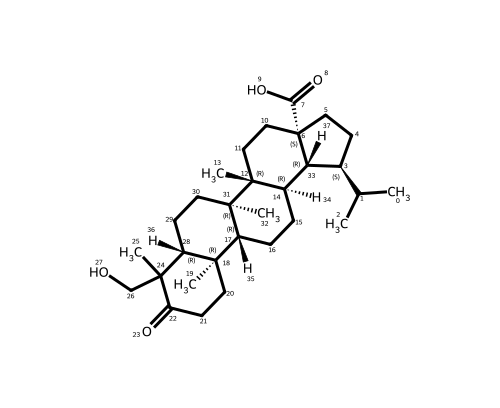 CC(C)[C@@H]1CC[C@]2(C(=O)O)CC[C@]3(C)[C@H](CC[C@@H]4[C@@]5(C)CCC(=O)C(C)(CO)[C@@H]5CC[C@]43C)[C@@H]12